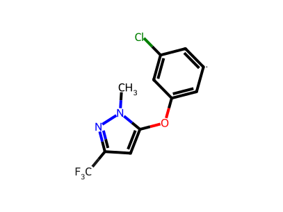 Cn1nc(C(F)(F)F)cc1Oc1c[c]cc(Cl)c1